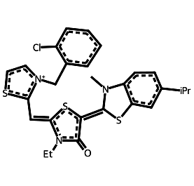 CCn1c(=O)/c(=C2\Sc3cc(C(C)C)ccc3N2C)s/c1=C\c1scc[n+]1Cc1ccccc1Cl